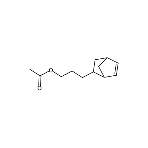 CC(=O)OCCCC1CC2C=CC1C2